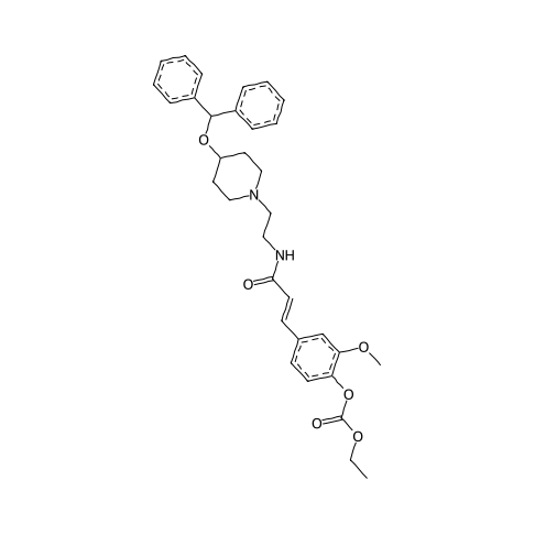 CCOC(=O)Oc1ccc(C=CC(=O)NCCN2CCC(OC(c3ccccc3)c3ccccc3)CC2)cc1OC